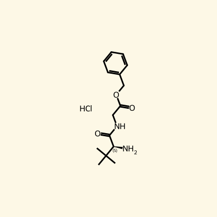 CC(C)(C)[C@H](N)C(=O)NCC(=O)OCc1ccccc1.Cl